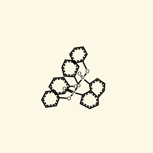 O=P(Oc1ccccc1)(Oc1ccccc1)c1cccc2cccc(P(=O)(Oc3ccccc3)Oc3ccccc3)c12